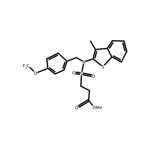 COC(=O)CCS(=O)(=O)N(Cc1ccc(OC(F)(F)F)cc1)c1sc2ccccc2c1C